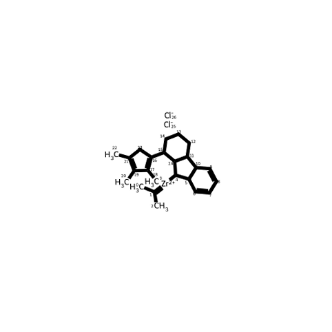 C[C](C)=[Zr+2][CH]1C2C=CC=CC2C2CCCC(C3=C(C)C(C)=C(C)C3)C21.[Cl-].[Cl-]